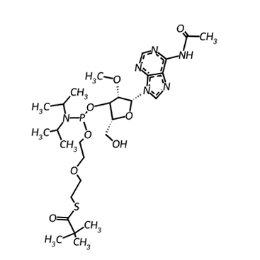 CO[C@H]1C(OP(OCCOCCSC(=O)C(C)(C)C)N(C(C)C)C(C)C)[C@@H](CO)O[C@H]1n1cnc2c(NC(C)=O)ncnc21